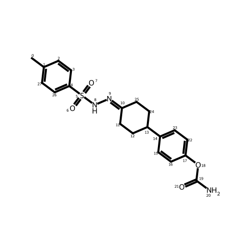 Cc1ccc(S(=O)(=O)NN=C2CCC(c3ccc(OC(N)=O)cc3)CC2)cc1